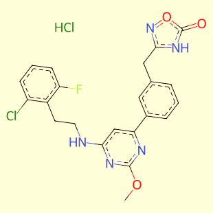 COc1nc(NCCc2c(F)cccc2Cl)cc(-c2cccc(Cc3noc(=O)[nH]3)c2)n1.Cl